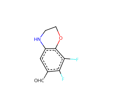 O=Cc1cc2c(c(F)c1F)OCCN2